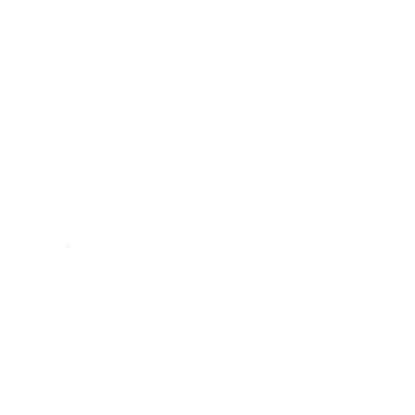 CCCCCCCCCCCCSCCCCc1cc(O)c(C(C)(C)C)cc1C